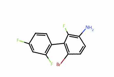 Nc1ccc(Br)c(-c2ccc(F)cc2F)c1F